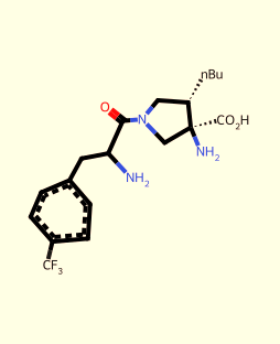 CCCC[C@H]1CN(C(=O)C(N)Cc2ccc(C(F)(F)F)cc2)C[C@@]1(N)C(=O)O